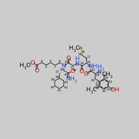 COC(=O)CCCCCN(C(=O)CNC(=O)[C@@H](CCSC)NC(=O)[C@@H](N)Cc1c(C)cc(O)cc1C)[C@@H](CC1CCCCC1)C(N)=O